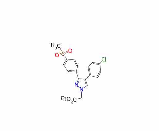 CCOC(=O)Cn1cc(-c2ccc(Cl)cc2)c(-c2ccc(S(C)(=O)=O)cc2)n1